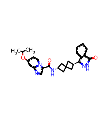 CC(C)Oc1ccn2c(C(=O)N[C@H]3CC4(C3)C[C@H](c3n[nH]c(=O)c5ccccc53)C4)cnc2c1